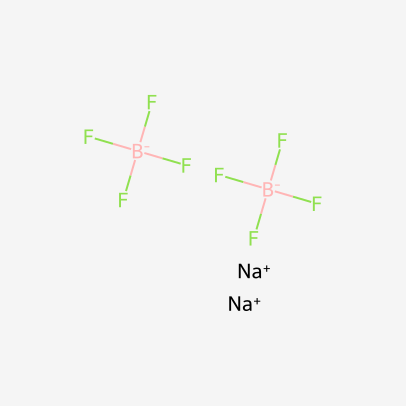 F[B-](F)(F)F.F[B-](F)(F)F.[Na+].[Na+]